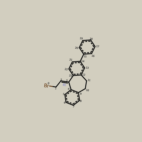 BrC/C=C1\c2ccccc2CCc2cc(-c3ccccc3)ccc21